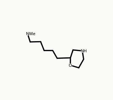 CNCCCCCC1CNCCO1